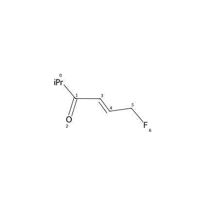 CC(C)C(=O)/C=C/CF